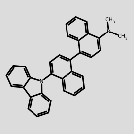 CB(C)c1ccc(-c2ccc(-n3c4ccccc4c4ccccc43)c3ccccc23)c2ccccc12